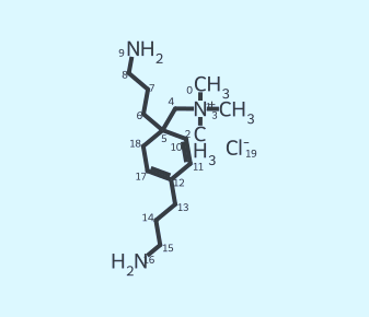 C[N+](C)(C)CC1(CCCN)C=CC(CCCN)=CC1.[Cl-]